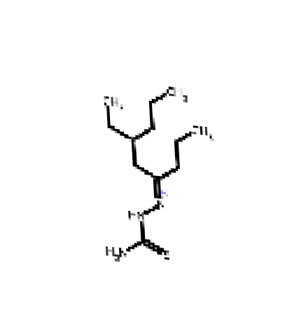 CCC/C(CC(CC)CCC)=N/NC(N)=S